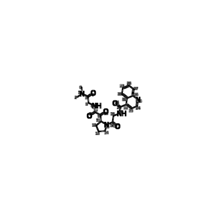 CN(C)C(=O)CNC(=O)C(=O)C1CCCN1C(=O)CNC(=O)c1ccnc2ccccc12